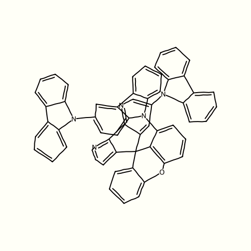 c1ccc2c(c1)Oc1cccc(-n3c4ccccc4c4cc(-n5c6ccccc6c6ccccc65)ccc43)c1C21c2cccnc2-c2ncc(-n3c4ccccc4c4ccccc43)cc21